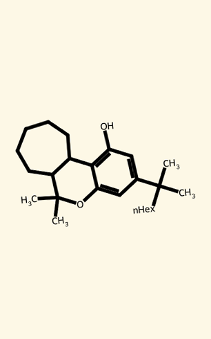 CCCCCCC(C)(C)c1cc(O)c2c(c1)OC(C)(C)C1CCCCCC21